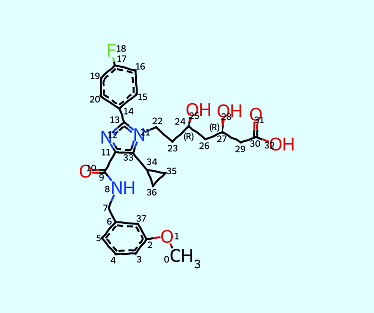 COc1cccc(CNC(=O)c2nc(-c3ccc(F)cc3)n(CC[C@@H](O)C[C@@H](O)CC(=O)O)c2C2CC2)c1